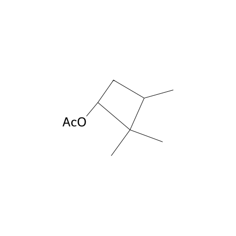 CC(=O)OC1CC(C)C1(C)C